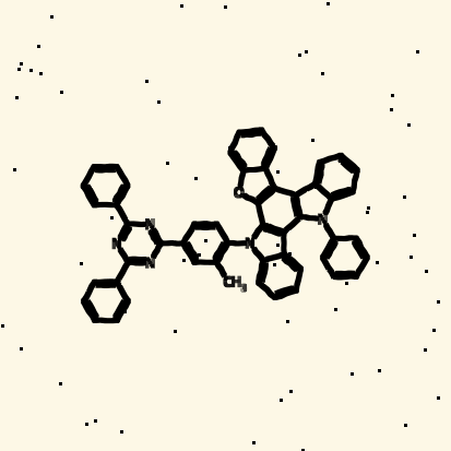 Cc1cc(-c2nc(-c3ccccc3)nc(-c3ccccc3)n2)ccc1-n1c2ccccc2c2c1c1oc3ccccc3c1c1c3ccccc3n(-c3ccccc3)c12